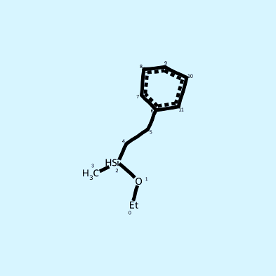 CCO[SiH](C)CCc1ccccc1